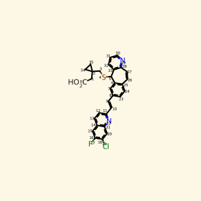 O=C(O)CC1(CSC2c3cc(/C=C/c4ccc5cc(F)c(Cl)cc5n4)ccc3C=Cc3ncccc32)CC1